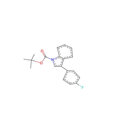 CC(C)(C)OC(=O)n1cc(-c2ccc(F)cc2)c2ccccc21